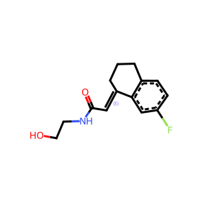 O=C(/C=C1\CCCc2ccc(F)cc21)NCCO